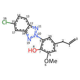 C=CCc1cc(OC)c(O)c(-n2nc3ccc(Cl)cc3n2)c1